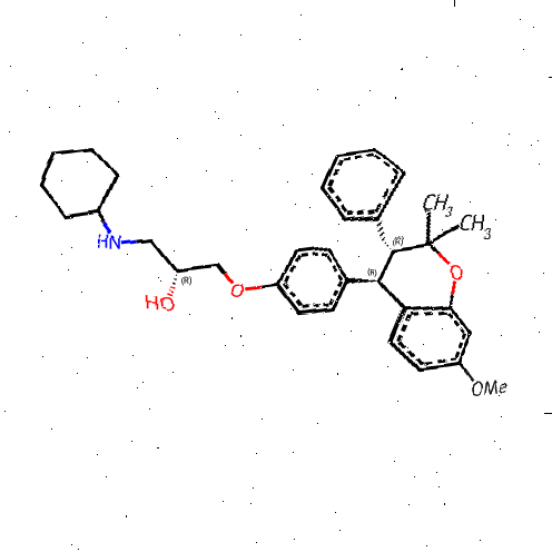 COc1ccc2c(c1)OC(C)(C)[C@@H](c1ccccc1)[C@@H]2c1ccc(OC[C@H](O)CNC2CCCCC2)cc1